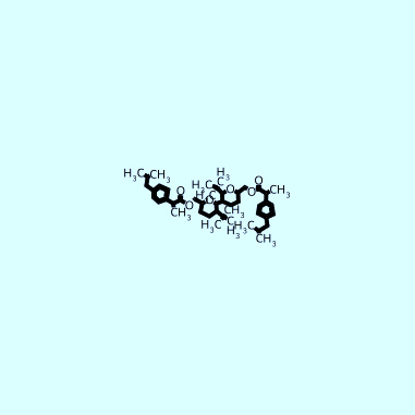 CC(C)Cc1ccc(C(C)C(=O)OCC2CCC(C(C)(C)C)C(C3CCC(COC(=O)C(C)c4ccc(CC(C)C)cc4)OC3C(C)(C)C)O2)cc1